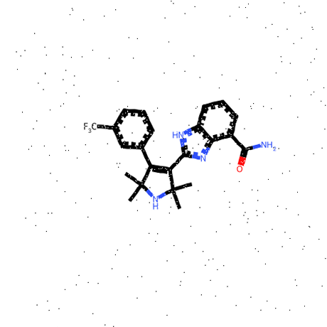 CC1(C)NC(C)(C)C(c2nc3c(C(N)=O)cccc3[nH]2)=C1c1cccc(C(F)(F)F)c1